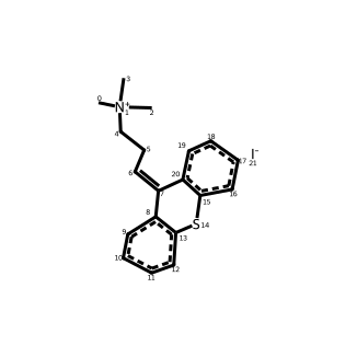 C[N+](C)(C)CCC=C1c2ccccc2Sc2ccccc21.[I-]